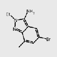 CCn1nc2c(C)cc(Br)cc2c1N